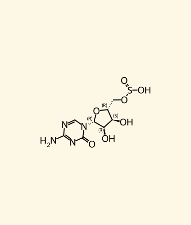 Nc1ncn([C@@H]2O[C@H](COS(=O)O)[C@@H](O)[C@H]2O)c(=O)n1